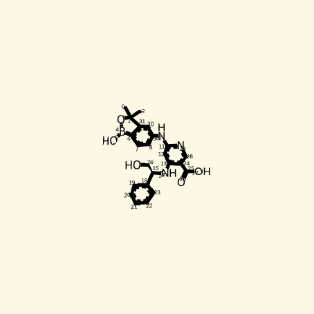 CC1(C)OB(O)c2ccc(Nc3cc(N[C@H](CO)c4ccccc4)c(C(=O)O)cn3)cc21